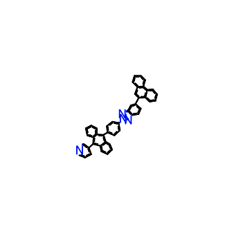 c1cncc(-c2c3ccccc3c(-c3ccc(-n4nc5ccc(-c6cc7ccccc7c7ccccc67)cc5n4)cc3)c3ccccc23)c1